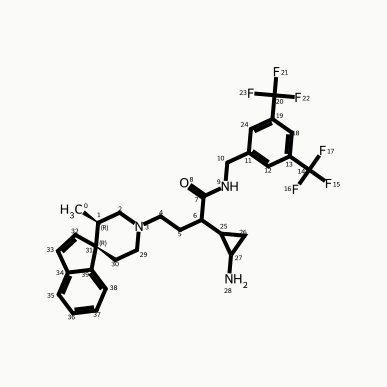 C[C@H]1CN(CCC(C(=O)NCc2cc(C(F)(F)F)cc(C(F)(F)F)c2)C2CC2N)CC[C@@]12C=Cc1ccccc12